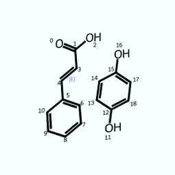 O=C(O)/C=C/c1ccccc1.Oc1ccc(O)cc1